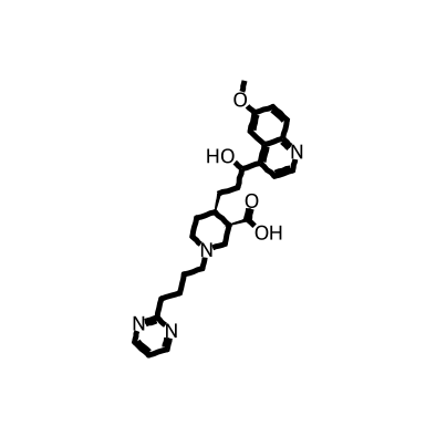 COc1ccc2nccc(C(O)CC[C@@H]3CCN(CCCCc4ncccn4)C[C@@H]3C(=O)O)c2c1